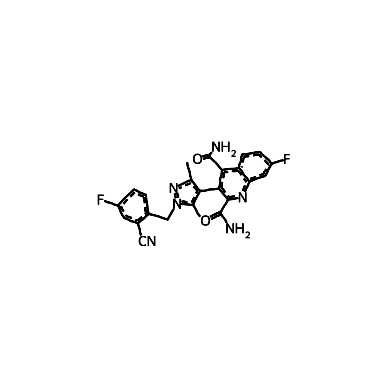 Cc1nn(Cc2ccc(F)cc2C#N)c(C)c1-c1c(C(N)=O)nc2cc(F)ccc2c1C(N)=O